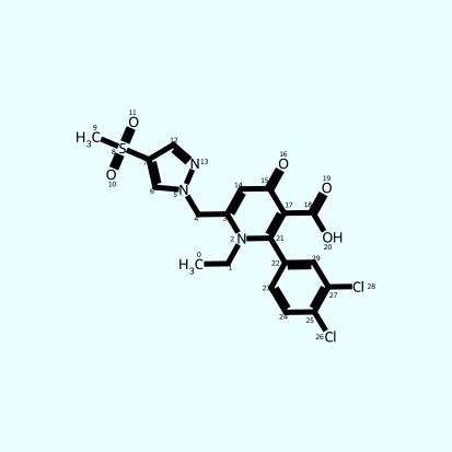 CCn1c(Cn2cc(S(C)(=O)=O)cn2)cc(=O)c(C(=O)O)c1-c1ccc(Cl)c(Cl)c1